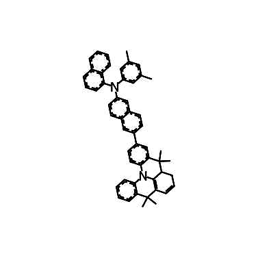 Cc1cc(C)cc(N(c2ccc3cc(-c4ccc5c(c4)C(C)(C)C4CC=CC6=C4N5c4ccccc4C6(C)C)ccc3c2)c2cccc3ccccc23)c1